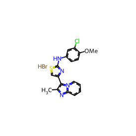 Br.COc1ccc(Nc2nc(-c3c(C)nc4ccccn34)cs2)cc1Cl